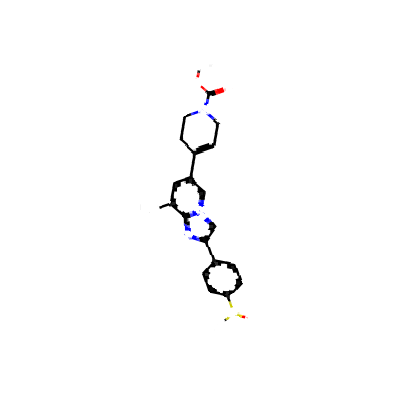 Cc1cc(C2=CCN(C(=O)OC(C)(C)C)CC2)cn2cc(-c3ccc([S+](C)[O-])cc3)nc12